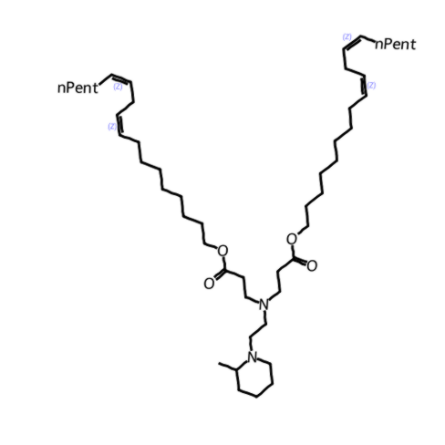 CCCCC/C=C\C/C=C\CCCCCCCCOC(=O)CCN(CCC(=O)OCCCCCCCC/C=C\C/C=C\CCCCC)CCN1CCCCC1C